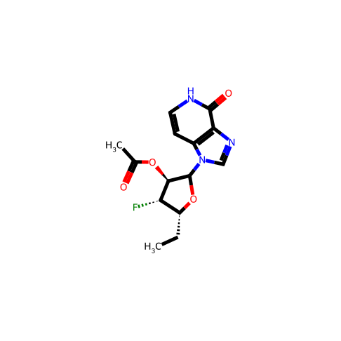 CC[C@H]1OC(n2cnc3c(=O)[nH]ccc32)[C@H](OC(C)=O)[C@H]1F